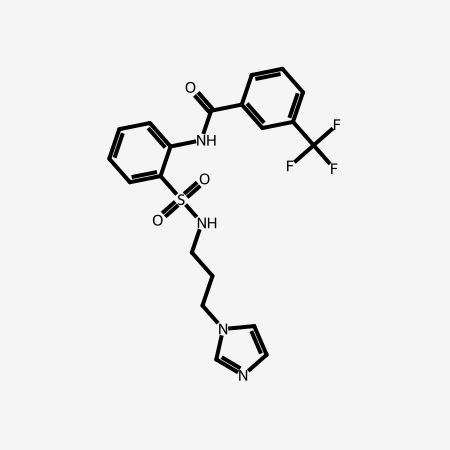 O=C(Nc1ccccc1S(=O)(=O)NCCCn1ccnc1)c1cccc(C(F)(F)F)c1